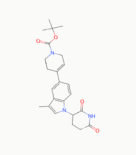 Cc1cn(C2CCC(=O)NC2=O)c2ccc(C3=CCN(C(=O)OC(C)(C)C)CC3)cc12